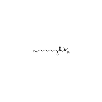 CCCCCCCCCCCCCCCCCC(=O)NC[N+](C)(C)CCC